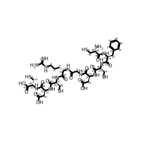 N=C(N)NCCC[C@H](NC(=O)CNC(=O)[C@H](CC(=O)O)NC(=O)[C@H](CS)NC(=O)[C@H](Cc1ccccc1)NC(=O)[C@@H](N)CS)C(=O)N[C@@H](CS)C(=O)N[C@@H](CC(=O)O)C(=O)N[C@@H](CS)C(=O)O